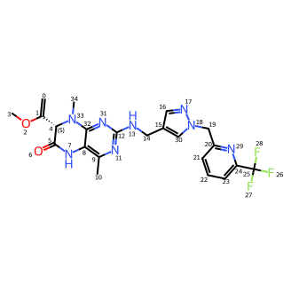 C=C(OC)[C@H]1C(=O)Nc2c(C)nc(NCc3cnn(Cc4cccc(C(F)(F)F)n4)c3)nc2N1C